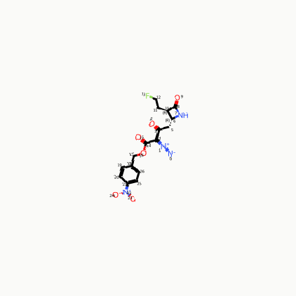 [N-]=[N+]=C(C(=O)C[C@H]1NC(=O)[C@@H]1CCF)C(=O)OCc1ccc([N+](=O)[O-])cc1